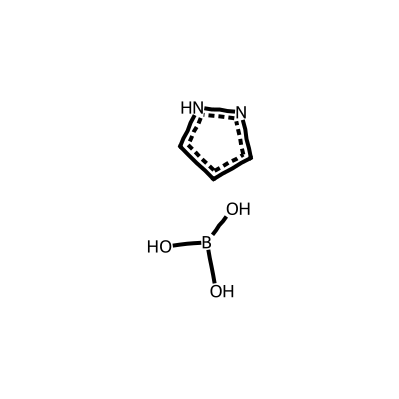 OB(O)O.c1cn[nH]c1